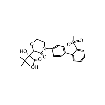 CC(C)(C)[C@](O)(C(=O)O)[C@H]1OCCN(c2ccc(-c3ccccc3S(C)(=O)=O)cc2)C1=O